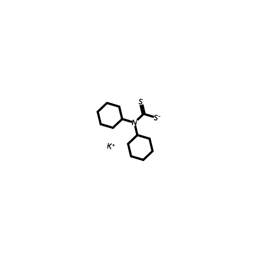 S=C([S-])N(C1CCCCC1)C1CCCCC1.[K+]